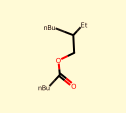 CCCCC(=O)OCC(CC)CCCC